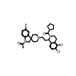 CC(=O)N1CC2(CCN(CCC3c4ccc(Cl)c(Cl)c4CCN3C(=O)C3CCCC3)CC2)c2cc(F)ccc21